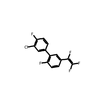 FC(F)=C(F)c1ccc(F)c(-c2ccc(F)c(Cl)c2)c1